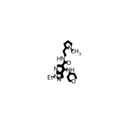 CCn1ncc2c(NC3CCOCC3)c(C(=O)NCCC3CCCN3C)cnc21